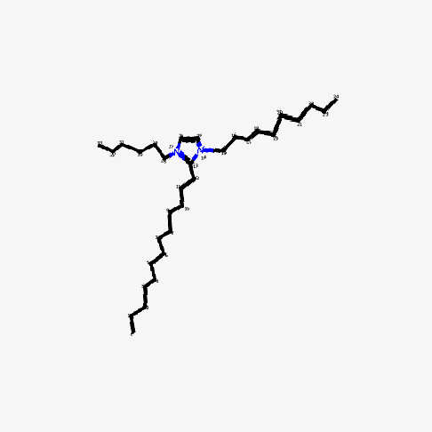 CCCCCCCCCCCCCc1n(CCCCCCCCCC)cc[n+]1CCCCCC